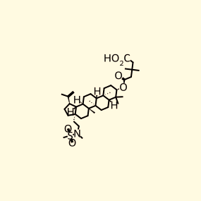 C=C(C)[C@@H]1CC[C@]2(CCN(C)S(C)(=O)=O)CC[C@]3(C)[C@H](CC[C@@H]4[C@@]5(C)CC[C@H](OC(=O)CC(C)(C)CC(=O)O)C(C)(C)[C@@H]5CC[C@]43C)[C@@H]12